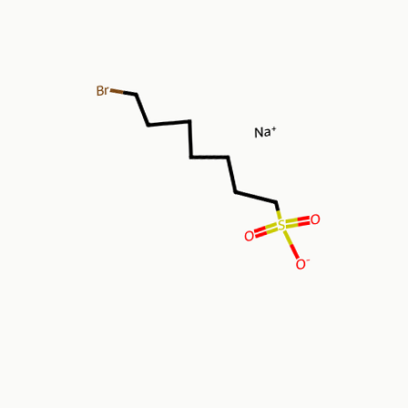 O=S(=O)([O-])CCCCCCCBr.[Na+]